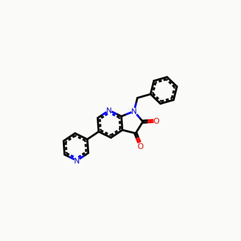 O=C1C(=O)N(Cc2ccccc2)c2ncc(-c3cccnc3)cc21